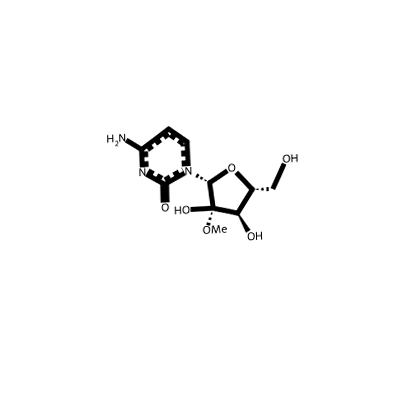 CO[C@@]1(O)[C@H](O)[C@@H](CO)O[C@H]1n1ccc(N)nc1=O